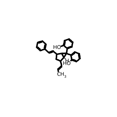 C/C=C/C1CC(/C=C/c2ccccc2)C2[C@H]1C2(c1ccccc1O)c1ccccc1O